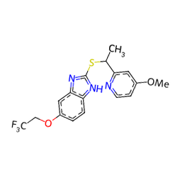 COc1ccnc(C(C)Sc2nc3cc(OCC(F)(F)F)ccc3[nH]2)c1